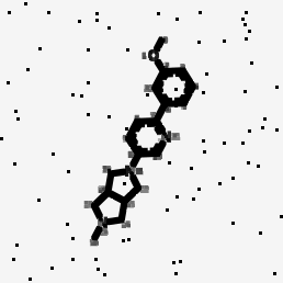 COc1cccc(-c2ccc(N3CC4CN(C)CC4C3)cn2)c1